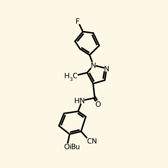 Cc1c(C(=O)Nc2ccc(OCC(C)C)c(C#N)c2)cnn1-c1ccc(F)cc1